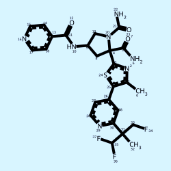 Cc1nc(C2(C(N)=O)CC(NC(=O)c3ccncc3)CN2C(N)=O)sc1-c1ccnc(C(C)(CF)C(F)F)c1